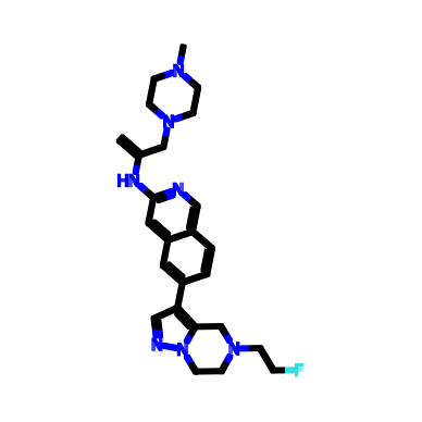 C=C(CN1CCN(C)CC1)Nc1cc2cc(-c3cnn4c3CN(CCF)CC4)ccc2cn1